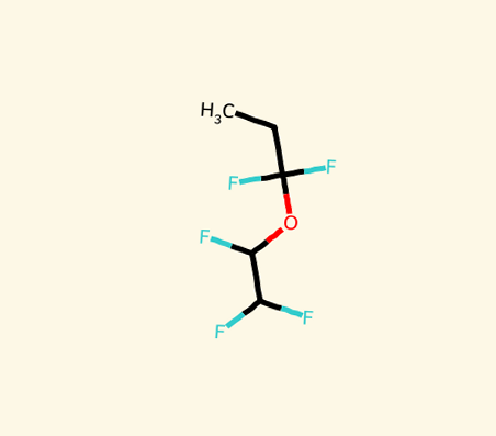 CCC(F)(F)OC(F)C(F)F